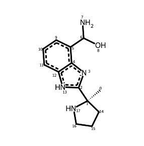 C[C@]1(c2nc3c(C(N)O)cccc3[nH]2)CCCN1